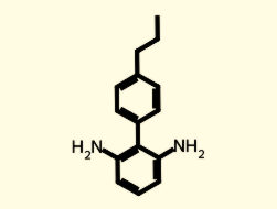 CCCc1ccc(-c2c(N)cccc2N)cc1